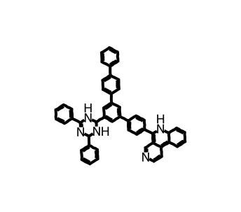 C1=CC2=c3ccncc3=C(c3ccc(-c4cc(-c5ccc(-c6ccccc6)cc5)cc(C5NC(c6ccccc6)=NC(c6ccccc6)N5)c4)cc3)NC2C=C1